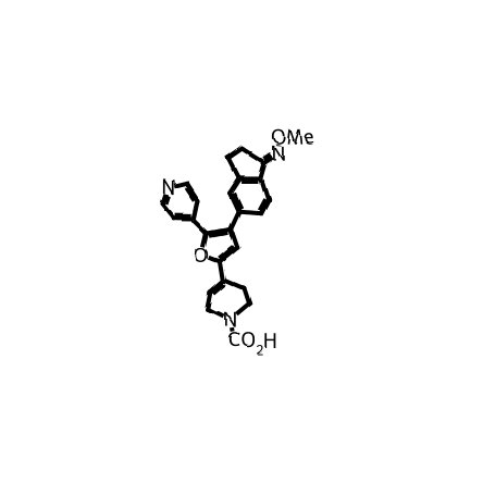 CON=C1CCc2cc(-c3cc(C4=CCN(C(=O)O)CC4)oc3-c3ccncc3)ccc21